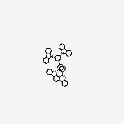 c1ccc(-c2nc3ccccc3c3ccc4c5ccccc5n(-c5cccc(-c6cc(-n7c8ccccc8c8ccccc87)cc(-n7c8ccccc8c8ccccc87)c6)c5)c4c23)cc1